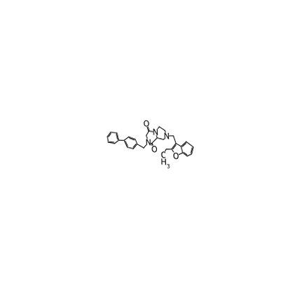 CCc1oc2ccccc2c1CN1CCN2C(=O)CN(Cc3ccc(-c4ccccc4)cc3)C(=O)C2C1